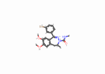 CNC(=O)N1N=C(c2cccc(Br)c2)c2cc(OC)c(OC)cc2CC1C